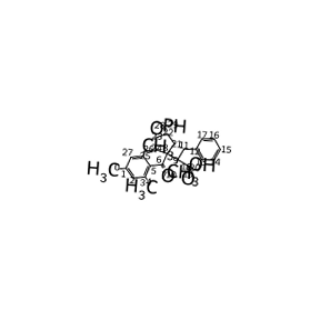 Cc1cc(C)c(C(=O)C2(C(C)(Cc3ccccc3)C(=O)O)CCCC2)c(C)c1.O=P